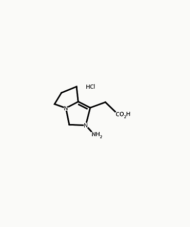 Cl.NN1CN2CCCC2=C1CC(=O)O